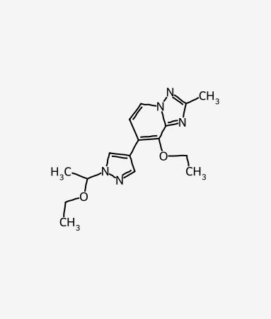 CCOc1c(-c2cnn(C(C)OCC)c2)ccn2nc(C)nc12